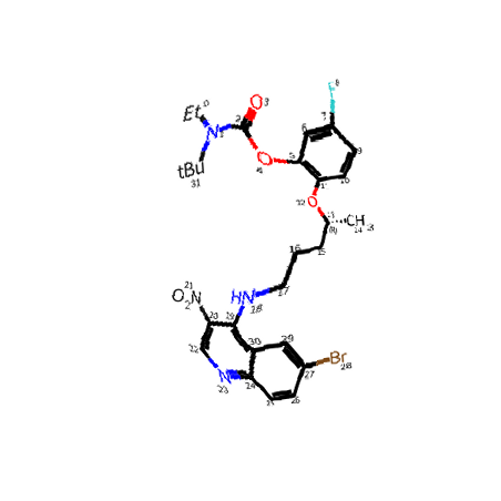 CCN(C(=O)Oc1cc(F)ccc1O[C@H](C)CCCNc1c([N+](=O)[O-])cnc2ccc(Br)cc12)C(C)(C)C